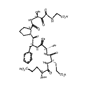 CCC[C@H](NC(=O)[C@@H]1CCCN1C(=O)[C@H](Cc1ccccc1)NC(=O)[C@@H](NC(=O)[C@H](CCC(=O)O)NC(=O)[C@H](CCC(=O)O)NC(C)=O)C(C)C)C(=O)C(=O)NCC(=O)O